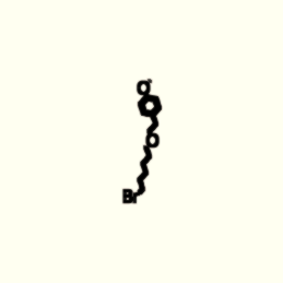 COc1ccc(CCOCCCCCCBr)cc1